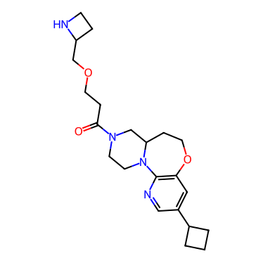 O=C(CCOCC1CCN1)N1CCN2c3ncc(C4CCC4)cc3OCCC2C1